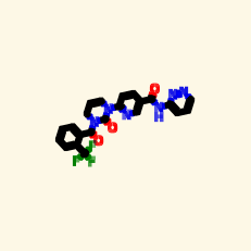 O=C(Nc1cccnn1)c1ccc(N2C=CCN(C(=O)c3ccccc3C(F)(F)F)C2=O)nc1